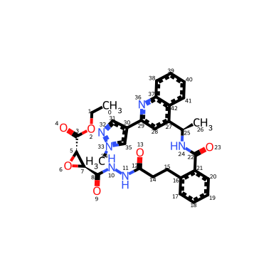 CCOC(=O)[C@H]1O[C@@H]1C(=O)NNC(=O)CCc1ccccc1C(=O)N[C@H](C)c1cc(-c2cnn(C)c2)nc2ccccc12